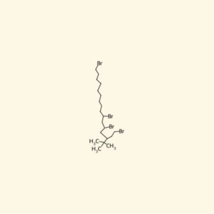 CC(C)(C)C(CCBr)CC(Br)CC(Br)CCCCCCCCCBr